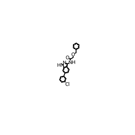 O=C(COCc1ccccc1)Nc1n[nH]c2cc(-c3cccc(Cl)c3)ccc12